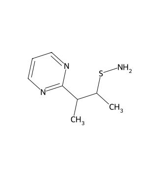 CC(SN)C(C)c1ncccn1